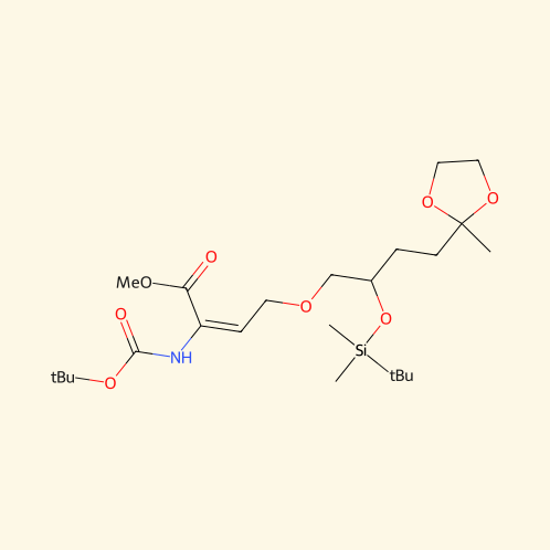 COC(=O)/C(=C\COCC(CCC1(C)OCCO1)O[Si](C)(C)C(C)(C)C)NC(=O)OC(C)(C)C